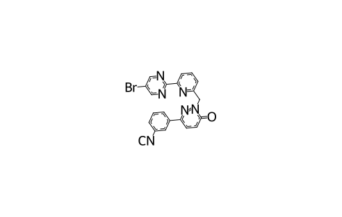 [C-]#[N+]c1cccc(-c2ccc(=O)n(Cc3cccc(-c4ncc(Br)cn4)n3)n2)c1